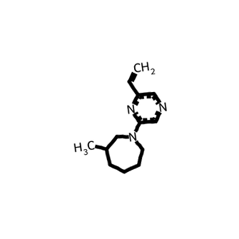 C=Cc1cncc(N2CCCCC(C)C2)n1